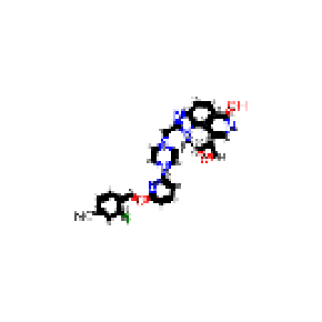 N#Cc1ccc(COc2cccc(N3CCN(Cc4nc5ccc6c(O)nccc6c5n4C[C@@H]4CCO4)CC3)n2)c(F)c1